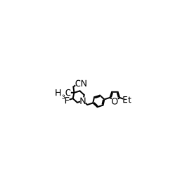 CCc1ccc(-c2ccc(CN3CCC(C)(CC#N)C(F)C3)cc2)o1